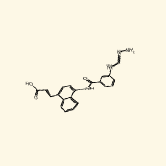 NN=CNc1cccc(C(=O)Nc2ccc(C=CC(=O)O)c3ccccc23)c1